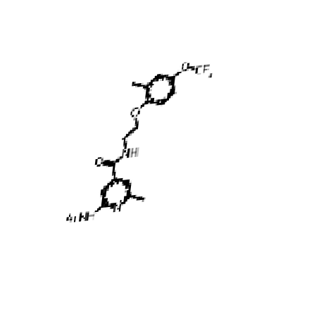 CC(=O)Nc1cc(C(=O)NCCOc2ccc(OC(F)(F)F)cc2C)cc(C)n1